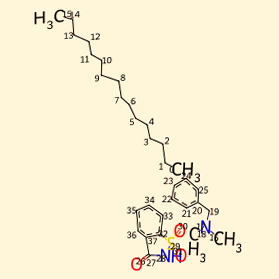 CCCCCCCCCCCCCCCC.CN(C)Cc1ccccc1.O=C1NS(=O)(=O)c2ccccc21